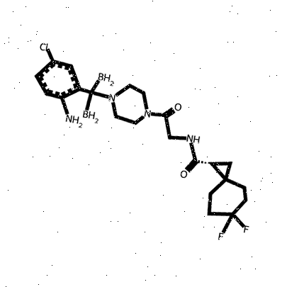 BC(B)(c1cc(Cl)ccc1N)N1CCN(C(=O)CNC(=O)[C@@H]2CC23CCC(F)(F)CC3)CC1